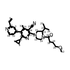 C=Cc1cc(-c2c(C3CC3)nc(N3CCN(C(=O)CCCOC)C(C(C)C)C3)c(C#N)c2C)ccn1